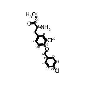 COC(=O)[C@@H](N)Cc1ccc(OCc2ccc(Cl)cc2)cc1.Cl